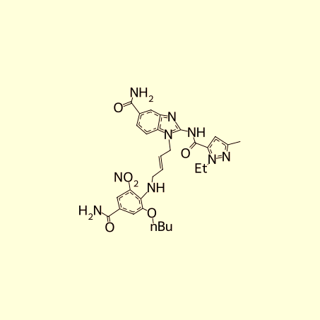 CCCCOc1cc(C(N)=O)cc([N+](=O)[O-])c1NC/C=C/Cn1c(NC(=O)c2cc(C)nn2CC)nc2cc(C(N)=O)ccc21